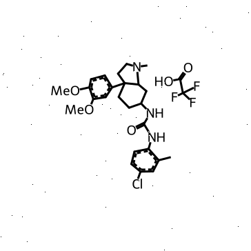 COc1ccc(C23CCC(NC(=O)Nc4ccc(Cl)cc4C)CC2N(C)CC3)cc1OC.O=C(O)C(F)(F)F